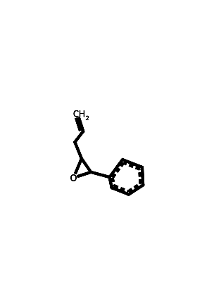 C=CCC1OC1c1ccccc1